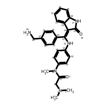 CN(C)CC(=O)N(C)c1ccc(N/C(=C2\C(=O)Nc3ccccc32)c2ccc(CN)cc2)cc1